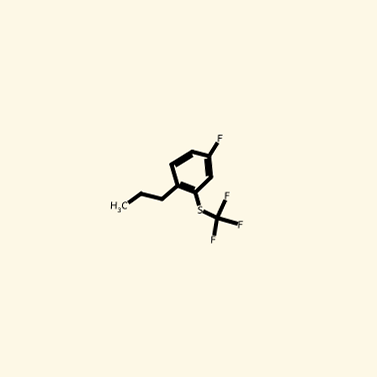 C[CH]Cc1ccc(F)cc1SC(F)(F)F